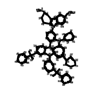 CC(C)(C)C1=Cc2c(n(-c3ccc4c(c3)N(c3ccccc3)c3cc(C5CCCCC5)cc5c3B4c3ccc(C(C)(C)c4ccccc4)cc3N5c3cccc(C(C)(C)c4ccccc4)c3)c3ccc(C(C)(C)C)cc23)CC1